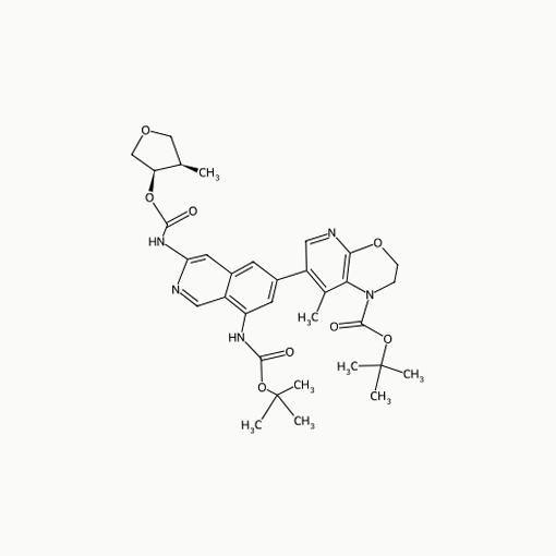 Cc1c(-c2cc(NC(=O)OC(C)(C)C)c3cnc(NC(=O)O[C@H]4COC[C@H]4C)cc3c2)cnc2c1N(C(=O)OC(C)(C)C)CCO2